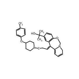 CC(C)(O)c1ccc2c(c1)C(=CCCN1CCC(Oc3ccc(C(F)(F)F)cc3)CC1)C1=CC=CCN1CO2